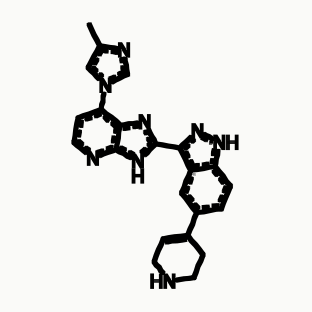 Cc1cn(-c2ccnc3[nH]c(-c4n[nH]c5ccc(C6=CCNCC6)cc45)nc23)cn1